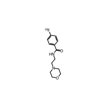 O=C(NCCN1CCOCC1)c1ccc([18F])cc1